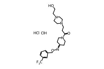 Cl.Cl.O=C(CCN1CCN(CCO)CC1)N1CCC(=NOCc2cccc(C(F)(F)F)c2)CC1